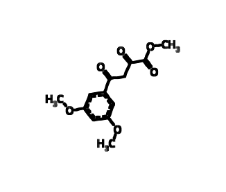 COC(=O)C(=O)CC(=O)c1cc(OC)cc(OC)c1